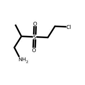 CC(CN)S(=O)(=O)CCCl